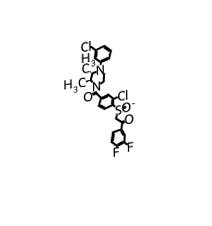 C[C@H]1[C@H](C)N(c2cccc(Cl)c2)CCN1C(=O)c1ccc([S+]([O-])CC(=O)c2ccc(F)c(F)c2)c(Cl)c1